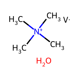 C[N+](C)(C)C.O.[V]